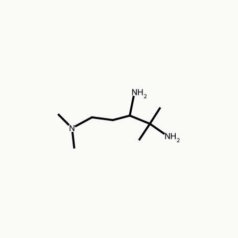 CN(C)CCC(N)C(C)(C)N